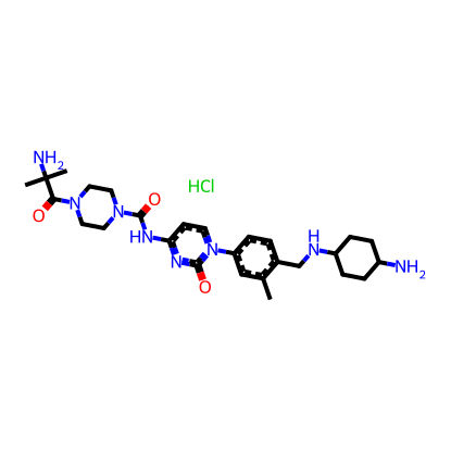 Cc1cc(-n2ccc(NC(=O)N3CCN(C(=O)C(C)(C)N)CC3)nc2=O)ccc1CNC1CCC(N)CC1.Cl